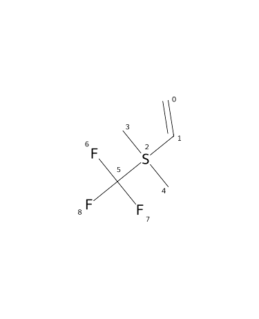 C=CS(C)(C)C(F)(F)F